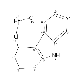 [CH]1CCCc2c1[nH]c1ccccc21.[Cl][Hf][Cl]